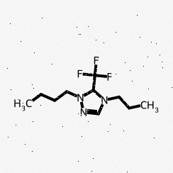 CCCCN1N=CN(CCC)C1C(F)(F)F